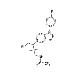 CC(C)CC(c1ccc2c(cnn2-c2ccc(F)cc2)c1)C(C)(C)CNC(=O)C(F)(F)F